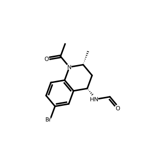 CC(=O)N1c2ccc(Br)cc2[C@@H](NC=O)C[C@H]1C